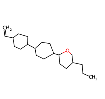 C=CC1CCC(C2CCC(C3CCC(CCC)CO3)CC2)CC1